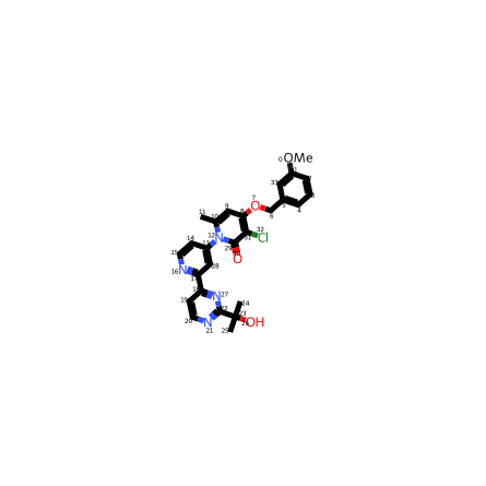 COc1cccc(COc2cc(C)n(-c3ccnc(-c4ccnc(C(C)(C)O)n4)c3)c(=O)c2Cl)c1